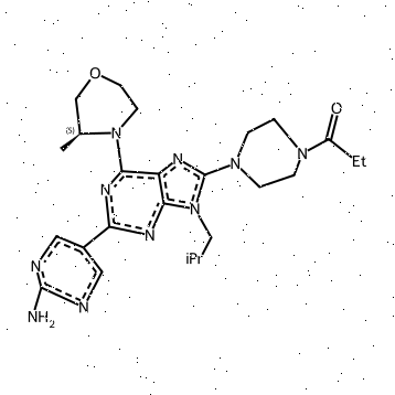 CCC(=O)N1CCN(c2nc3c(N4CCOC[C@@H]4C)nc(-c4cnc(N)nc4)nc3n2CC(C)C)CC1